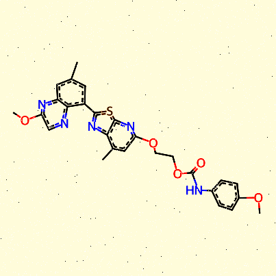 COc1ccc(NC(=O)OCCOc2cc(C)c3nc(-c4cc(C)cc5nc(OC)cnc45)sc3n2)cc1